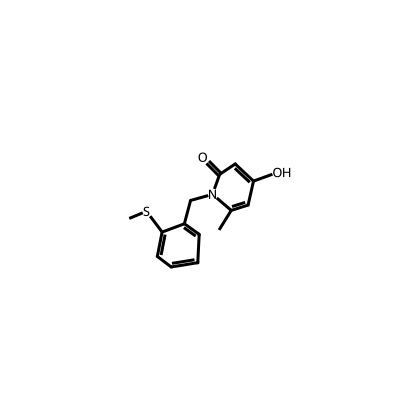 CSc1ccccc1Cn1c(C)cc(O)cc1=O